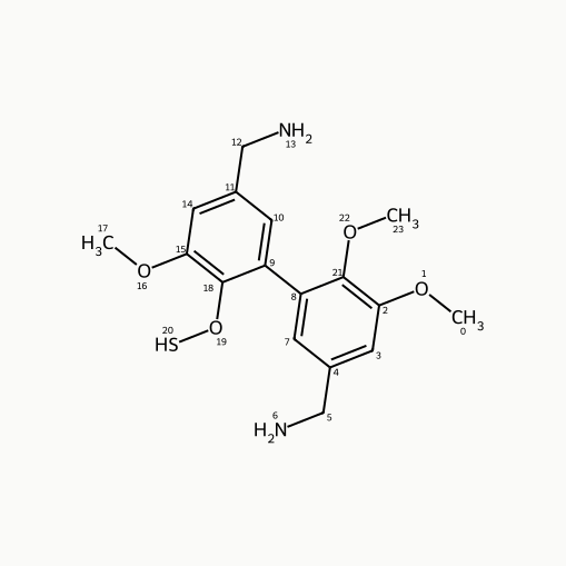 COc1cc(CN)cc(-c2cc(CN)cc(OC)c2OS)c1OC